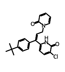 CC(C)(C)c1ccc(/C(=C/Cn2ccccc2=O)c2ccc(Cl)c(=O)[nH]2)cc1